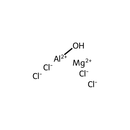 [Cl-].[Cl-].[Cl-].[Cl-].[Mg+2].[OH][Al+2]